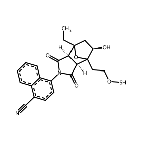 CCC12C[C@@H](O)C(CCOS)(O1)[C@H]1C(=O)N(c3ccc(C#N)c4ccccc34)C(=O)[C@H]12